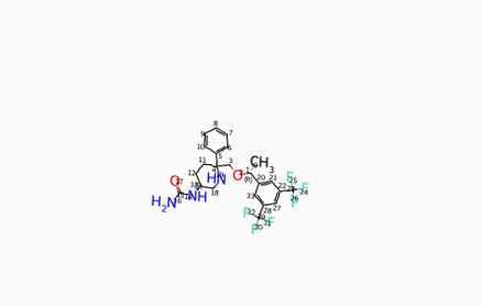 C[C@@H](OCC1(c2ccccc2)CC[C@H](NC(N)=O)CN1)c1cc(C(F)(F)F)cc(C(F)(F)F)c1